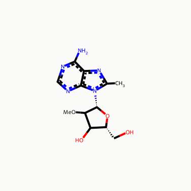 COC1C(O)[C@@H](CO)O[C@H]1n1c(C)nc2c(N)ncnc21